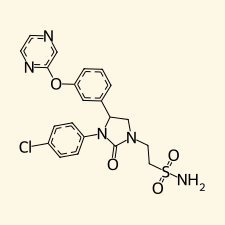 NS(=O)(=O)CCN1CC(c2cccc(Oc3cnccn3)c2)N(c2ccc(Cl)cc2)C1=O